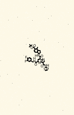 Cc1c(C(=O)OC(C)(C)C)ccc2c1CC[C@@H]2NC(=O)c1cc(C(=O)NCc2ccc(F)c(F)c2)nc2c(C(=O)Nc3nccs3)cnn12